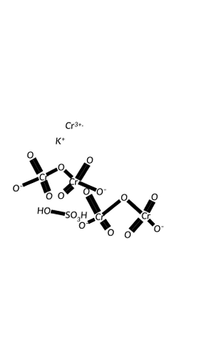 O=S(=O)(O)O.[Cr+3].[K+].[O]=[Cr](=[O])([O-])[O][Cr](=[O])(=[O])[O-].[O]=[Cr](=[O])([O-])[O][Cr](=[O])(=[O])[O-]